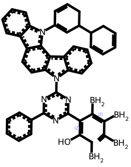 BC/C(O)=C(\C(B)=C(\B)C(B)=C)c1nc(-c2ccccc2)nc(-n2c3ccccc3c3c4c(ccc32)c2ccccc2n4C2=CC(C3C=CC=CC3)CC=C2)n1